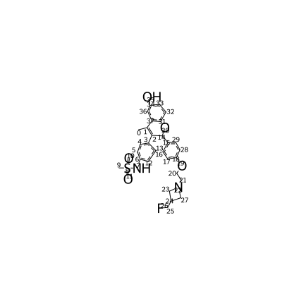 CC1=C(c2ccc(NS(C)(=O)=O)cc2)C(c2ccc(OCCN3CC(CF)C3)cc2)Oc2ccc(O)cc21